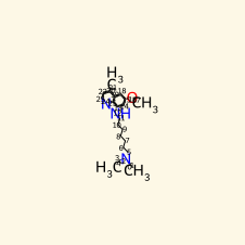 CCN(CC)CCCCCCCNc1cc(OC)cc2c(C)ccnc12